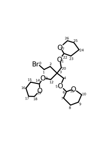 BrCCC(COC1CCCCO1)(COC1CCCCO1)COC1CCCCO1